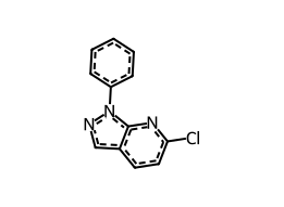 Clc1ccc2cnn(-c3ccccc3)c2n1